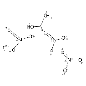 CCO.O=[N+]([O-])[O-].O=[N+]([O-])[O-].O=[N+]([O-])[O-].[Y+3]